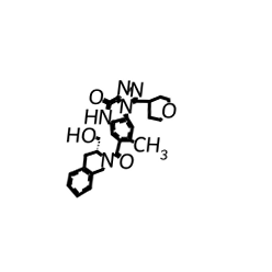 Cc1cc2c(cc1C(=O)N1Cc3ccccc3C[C@@H]1CO)[nH]c(=O)c1nnc(C3CCOCC3)n12